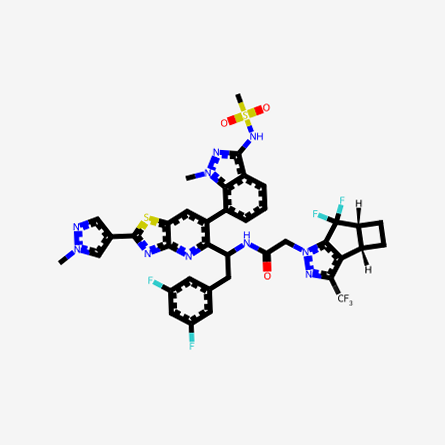 Cn1cc(-c2nc3nc(C(Cc4cc(F)cc(F)c4)NC(=O)Cn4nc(C(F)(F)F)c5c4C(F)(F)[C@@H]4CC[C@H]54)c(-c4cccc5c(NS(C)(=O)=O)nn(C)c45)cc3s2)cn1